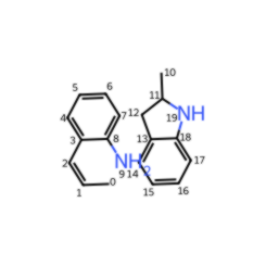 C/C=C\c1ccccc1N.CC1Cc2ccccc2N1